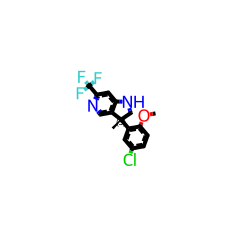 COc1ccc(Cl)cc1[C@@]1(C)CNc2cc(C(F)(F)F)ncc21